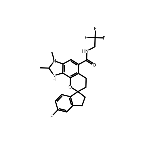 CC1Nc2c(cc(C(=O)NCC(F)(F)F)c3c2OC2(CCc4cc(F)ccc42)CC3)N1C